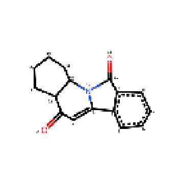 O=C1C=C2c3ccccc3C(=O)N2C2CCCCC12